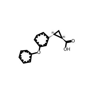 O=C(O)[C@@H]1C[C@H]1c1cccc(Oc2ccccc2)c1